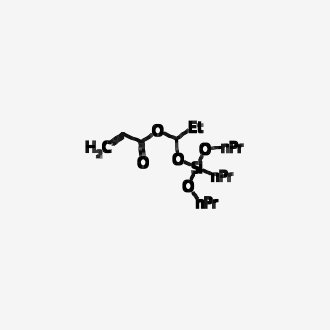 C=CC(=O)OC(CC)O[Si](CCC)(OCCC)OCCC